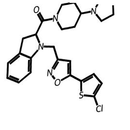 O=C(C1Cc2ccccc2N1Cc1cc(-c2ccc(Cl)s2)on1)N1CCC(N2CCCC2)CC1